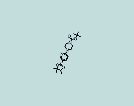 CC1OB(c2ccc(N3CCN(C(=O)OC(C)(C)C)CC3)nc2)OC1(C)C